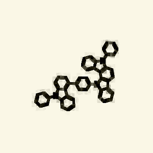 c1ccc(-n2c3ccccc3c3c(-c4ccc(-n5c6ccccc6c6ccc7c(c8ccccc8n7-c7ccccc7)c65)cc4)cccc32)cc1